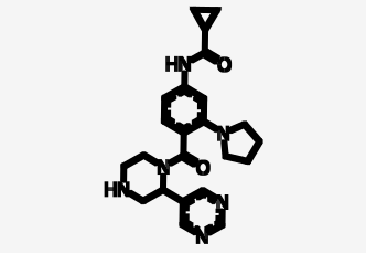 O=C(Nc1ccc(C(=O)N2CCNCC2c2cncnc2)c(N2CCCC2)c1)C1CC1